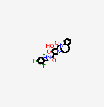 O=C(NCc1c(F)cc(F)cc1F)c1cn2c(c(O)c1=O)C(=O)N1CC2CCCc2ccccc21